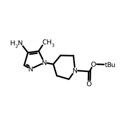 Cc1c(N)cnn1C1CCN(C(=O)OC(C)(C)C)CC1